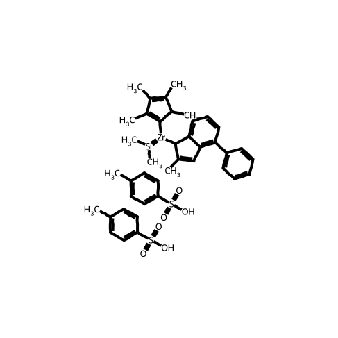 CC1=Cc2c(-c3ccccc3)cccc2[CH]1[Zr]([C]1=C(C)C(C)=C(C)C1C)=[Si](C)C.Cc1ccc(S(=O)(=O)O)cc1.Cc1ccc(S(=O)(=O)O)cc1